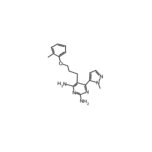 Cc1ccccc1OCCCc1c(N)nc(N)nc1-c1ccnn1C